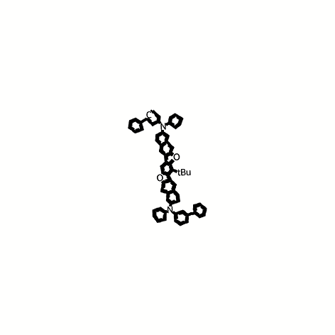 CC(C)(C)c1c2oc3cc4cc(N(c5ccccc5)c5cccc(-c6ccccc6)c5)ccc4cc3c2cc2oc3cc4cc(N(c5ccccc5)c5cccc(-c6ccccc6)c5)ccc4cc3c12